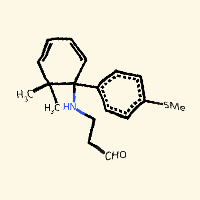 CSc1ccc(C2(NCCC=O)C=CC=CC2(C)C)cc1